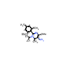 CCC(CC)N1C(c2c(C)cc(C)cc2OC)=NC(OC)=C(N)C1C